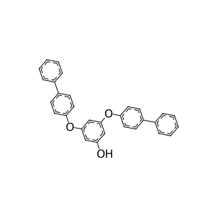 Oc1cc(Oc2ccc(-c3ccccc3)cc2)cc(Oc2ccc(-c3ccccc3)cc2)c1